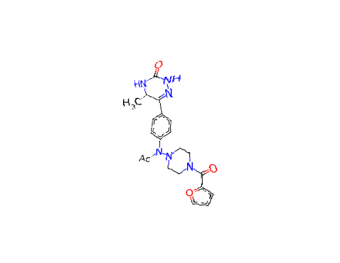 CC(=O)N(c1ccc(C2=NNC(=O)NC2C)cc1)N1CCN(C(=O)c2ccco2)CC1